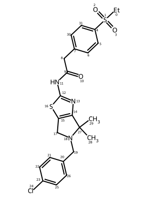 CCS(=O)(=O)c1ccc(CC(=O)Nc2nc3c(s2)CN(Cc2ccc(Cl)cc2)C3(C)C)cc1